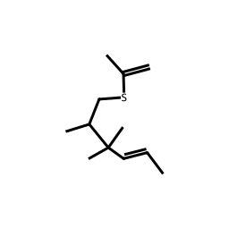 C=C(C)SCC(C)C(C)(C)C=CC